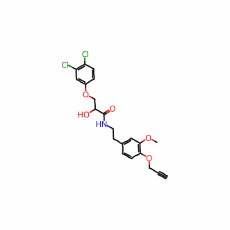 C#CCOc1ccc(CCNC(=O)C(O)COc2ccc(Cl)c(Cl)c2)cc1OC